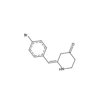 O=C1CCN/C(=C/c2ccc(Br)cc2)C1